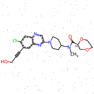 CN(C(=O)[C@@H]1COCCO1)C1CCN(c2cnc3cc(Cl)c(C#CCO)cc3n2)CC1